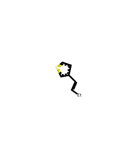 [CH2]C/C=C/c1ccsc1